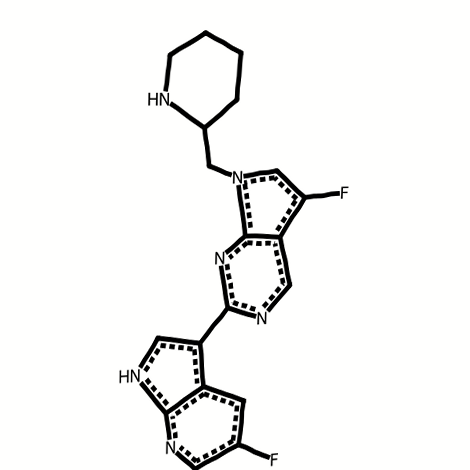 Fc1cnc2[nH]cc(-c3ncc4c(F)cn(CC5CCCCN5)c4n3)c2c1